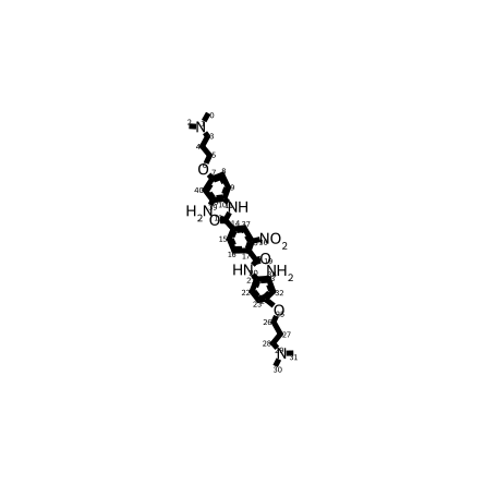 CN(C)CCCOc1ccc(NC(=O)c2ccc(C(=O)Nc3ccc(OCCCN(C)C)cc3N)c([N+](=O)[O-])c2)c(N)c1